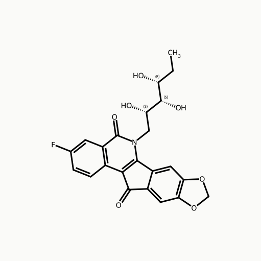 CC[C@@H](O)[C@H](O)[C@@H](O)Cn1c2c(c3ccc(F)cc3c1=O)C(=O)c1cc3c(cc1-2)OCO3